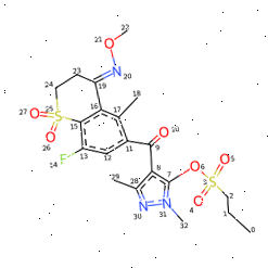 CCCS(=O)(=O)Oc1c(C(=O)c2cc(F)c3c(c2C)C(=NOC)CCS3(=O)=O)c(C)nn1C